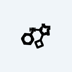 c1ccc(Nc2nnsc2C2CCC2)cc1